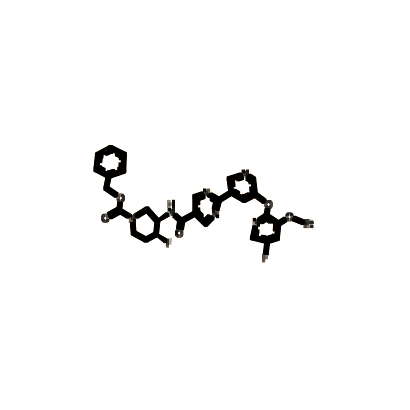 CCOc1cc(F)cnc1Oc1cncc(-c2ncc(C(=O)N[C@@H]3CN(C(=O)OCc4ccccc4)CC[C@@H]3F)cn2)c1